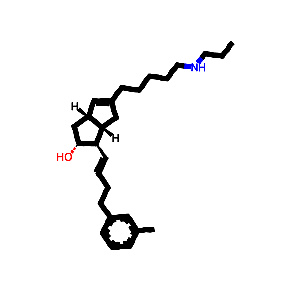 CCCNCCCCCC1=C[C@H]2C[C@@H](O)[C@H](/C=C/CCc3cccc(C)c3)[C@H]2C1